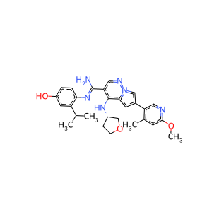 COc1cc(C)c(-c2cc3c(N[C@H]4CCOC4)c(/C(N)=N/c4ccc(O)cc4C(C)C)cnn3c2)cn1